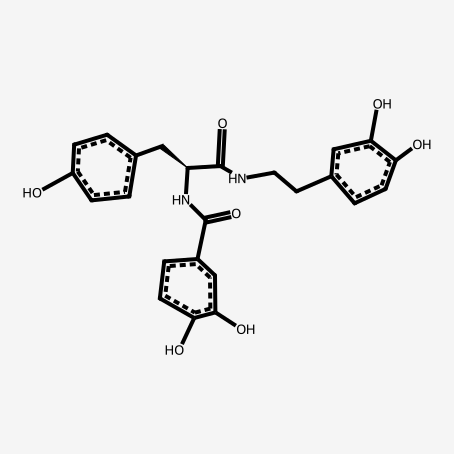 O=C(N[C@@H](Cc1ccc(O)cc1)C(=O)NCCc1ccc(O)c(O)c1)c1ccc(O)c(O)c1